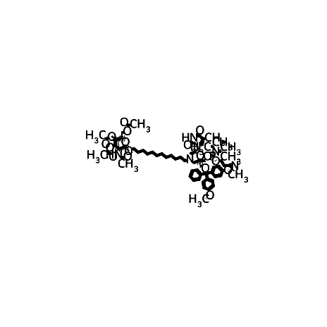 COc1ccc(C(OC[C@]2(COP(OCCC#N)N(C(C)C)C(C)C)CN(CCCCCCCCCCCCO[C@@H]3O[C@H](COC(C)=O)[C@H](OC(C)=O)[C@H](OC(C)=O)[C@H]3NC(C)=O)C[C@H](n3cc(C)c(=O)[nH]c3=O)O2)(c2ccccc2)c2ccc(OC)cc2)cc1